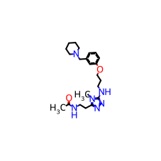 CC(=O)NCCc1nnc(NCCCOc2cccc(CN3CCCCC3)c2)n1C